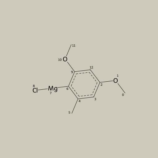 COc1cc(C)[c]([Mg][Cl])c(OC)c1